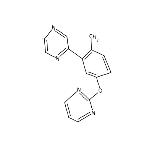 Cc1ccc(Oc2ncccn2)cc1-c1cn[c]cn1